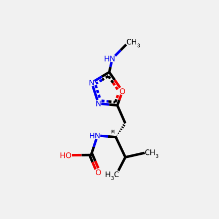 CNc1nnc(C[C@@H](NC(=O)O)C(C)C)o1